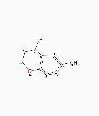 Cc1ccc2c(c1)C(C(C)C)CCO2